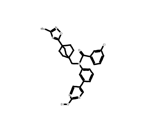 CCOc1ncc(-c2cccc(N(CC34CCC(c5nc(C(C)(C)C)no5)(CC3)CC4)C(=O)c3cccc(Cl)c3)c2)cn1